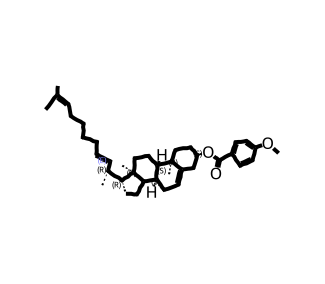 COc1ccc(C(=O)O[C@H]2CC[C@@]3(C)C(=CC[C@H]4C5CC[C@H]([C@H](C)/C=C/CCCCC=C(C)C)[C@@]5(C)CC[C@@H]43)C2)cc1